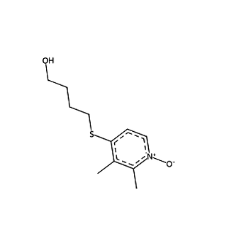 Cc1c(SCCCCO)cc[n+]([O-])c1C